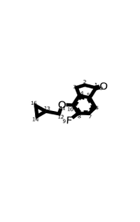 O=C1CCc2c1ccc(F)c2OCC1CC1